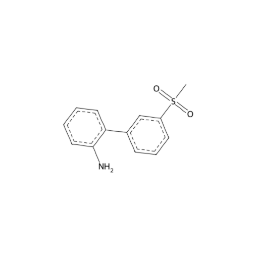 CS(=O)(=O)c1cccc(-c2ccccc2N)c1